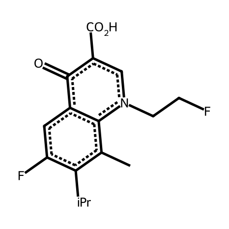 Cc1c(C(C)C)c(F)cc2c(=O)c(C(=O)O)cn(CCF)c12